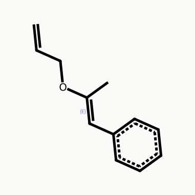 C=CCO/C(C)=C/c1ccccc1